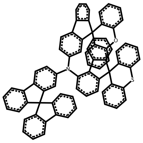 c1ccc2c(c1)Oc1ccccc1C21c2ccccc2-c2ccc(N(c3ccc4c(c3)C3(c5ccccc5-c5ccccc53)c3ccccc3-4)c3cccc4c3-c3ccccc3C43c4ccccc4Sc4ccccc43)cc21